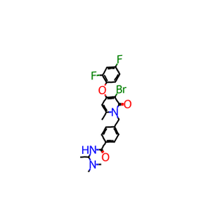 Cc1cc(Oc2ccc(F)cc2F)c(Br)c(=O)n1Cc1ccc(C(=O)NC(C)N(C)C)cc1